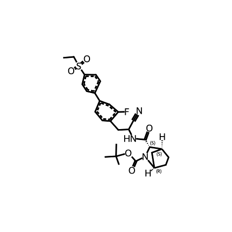 CCS(=O)(=O)c1ccc(-c2ccc(CC(C#N)NC(=O)[C@@H]3[C@H]4CC[C@H](C4)N3C(=O)OC(C)(C)C)c(F)c2)cc1